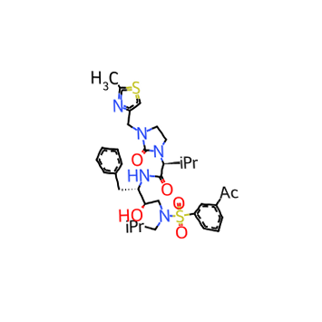 CC(=O)c1cccc(S(=O)(=O)N(CC(C)C)C[C@@H](O)[C@H](Cc2ccccc2)NC(=O)[C@H](C(C)C)N2CCN(Cc3csc(C)n3)C2=O)c1